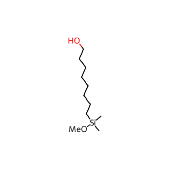 CO[Si](C)(C)CCCCCCCCO